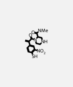 C=C(C(=O)N1CCNCC1C(=O)NC)c1ccc(S)c([N+](=O)[O-])c1